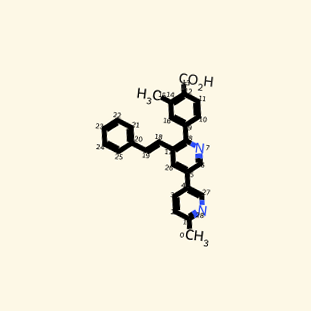 Cc1ccc(-c2cnc(-c3ccc(C(=O)O)c(C)c3)c(/C=C/c3ccccc3)c2)cn1